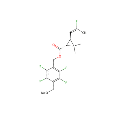 COCc1c(F)c(F)c(COC(=O)[C@@H]2[C@@H](/C=C(/F)C#N)C2(C)C)c(F)c1F